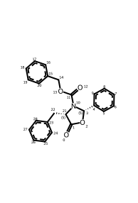 O=C1O[C@@H](c2ccccc2)N(C(=O)OCc2ccccc2)[C@H]1Cc1ccccc1